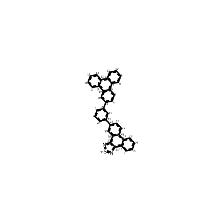 c1cc(-c2ccc3c4ccccc4c4ccccc4c3c2)cc(-c2ccc3c4ccccc4c4nsnc4c3c2)c1